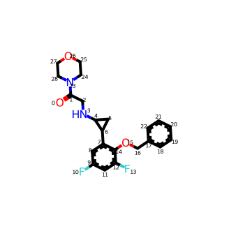 O=C(CNC1CC1c1cc(F)cc(F)c1OCc1ccccc1)N1CCOCC1